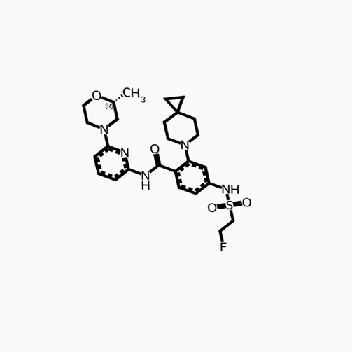 C[C@@H]1CN(c2cccc(NC(=O)c3ccc(NS(=O)(=O)CCF)cc3N3CCC4(CC3)CC4)n2)CCO1